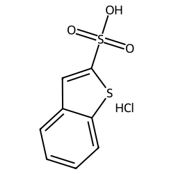 Cl.O=S(=O)(O)c1cc2ccccc2s1